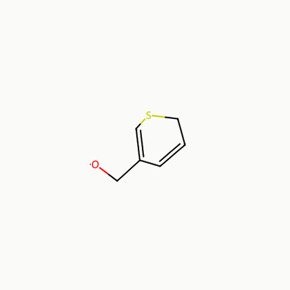 [O]CC1=CSCC=C1